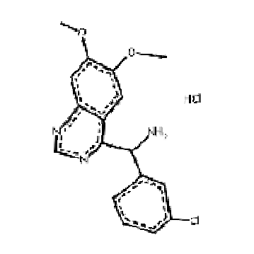 COc1cc2ncnc(C(N)c3cccc(Cl)c3)c2cc1OC.Cl